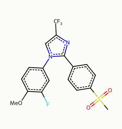 COc1ccc(-n2cc(C(F)(F)F)nc2-c2ccc(S(C)(=O)=O)cc2)cc1F